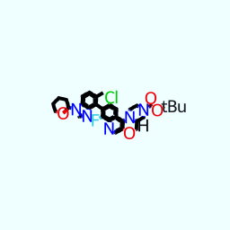 Cc1ccc2c(ncn2C2CCCCO2)c1-c1c(Cl)cc2c3c(cnc2c1F)OC[C@H]1CN(C(=O)OC(C)(C)C)CCN31